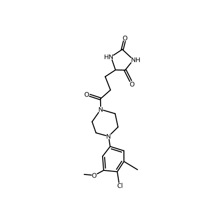 COc1cc(N2CCN(C(=O)CCC3NC(=O)NC3=O)CC2)cc(C)c1Cl